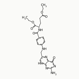 CCOC(=O)CCC(NC(=O)c1ccc(NCc2c[nH]c3nc(N)nc(=O)c-3n2)cc1)C(=O)OCC